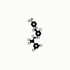 C[S+]([O-])c1ccc(NC(=O)c2cc(NC(=O)[C@H]3[C@H](c4cc(Cl)cc(Cl)c4)C3(Cl)Cl)ccc2Cl)cc1